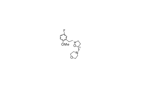 COc1ccc(F)cc1CC[C@@H]1CC[C@@H](CN2CCOCC2)O1